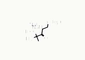 CCCCCCCCCC(=O)C(C)(O)C(=O)O.[NaH].[NaH]